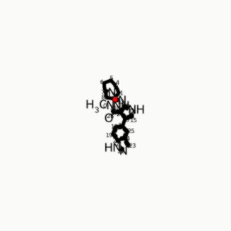 Cn1c(N2C3CCC2CC(N)C3)nc2[nH]cc(-c3ccc4[nH]ncc4c3)c2c1=O